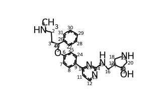 CNCC[C@H](Oc1ccc(-c2ccnc(NC[C@H]3CNC[C@@H]3O)n2)cc1)c1ccccc1